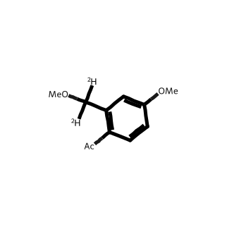 [2H]C([2H])(OC)c1cc(OC)ccc1C(C)=O